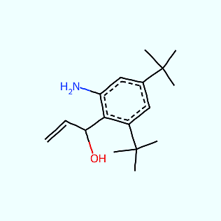 C=CC(O)c1c(N)cc(C(C)(C)C)cc1C(C)(C)C